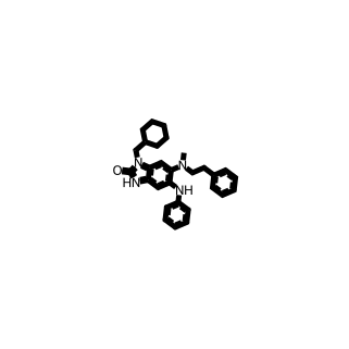 CN(CCc1ccccc1)c1cc2c(cc1Nc1ccccc1)[nH]c(=O)n2CC1CCCCC1